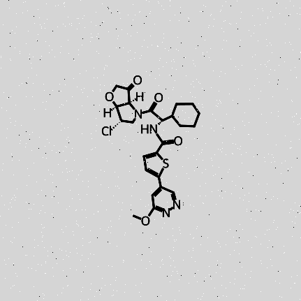 COc1cc(-c2ccc(C(=O)N[C@H](C(=O)N3C[C@H](Cl)[C@H]4OCC(=O)[C@H]43)C3CCCCC3)s2)cnn1